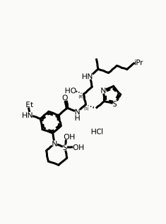 CCNc1cc(C(=O)N[C@@H](Cc2nccs2)[C@H](O)CNC(C)CCCC(C)C)cc(N2CCCCS2(O)O)c1.Cl